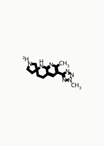 [2H]N1CCC2(CCc3cc(-c4nnn(C)n4)c(C)nc3N2)C1